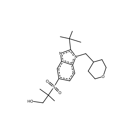 CC(C)(C)c1nc2cc(S(=O)(=O)C(C)(C)CO)ccc2n1CC1CCOCC1